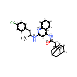 CC(Cc1ccc(Cl)cc1)Nc1cc(NC(=O)CC23CC4CC(CC(C4)C2)C3)c2ccccc2n1